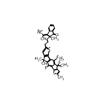 Cc1cc2c(s1)-c1c(F)c3c(c(F)c1C2(C)C)-c1sc(CCCC2(C)C(=O)c4ccccc4C2=C(C#N)C#N)cc1C3(C)C